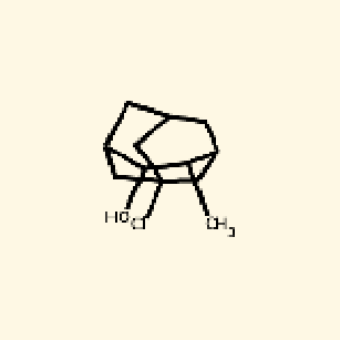 CC1C2CC3CC(CC(Cl)(C3)C2)C1O